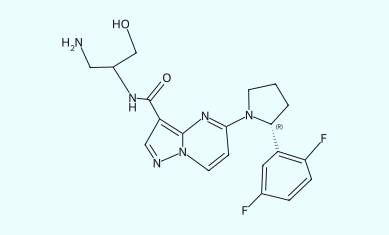 NCC(CO)NC(=O)c1cnn2ccc(N3CCC[C@@H]3c3cc(F)ccc3F)nc12